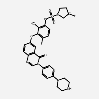 N#Cc1c(NS(=O)(=O)N2CC[C@@H](F)C2)ccc(F)c1Oc1ccc2ncn(-c3ccc(N4CCNCC4)nc3)c(=O)c2c1